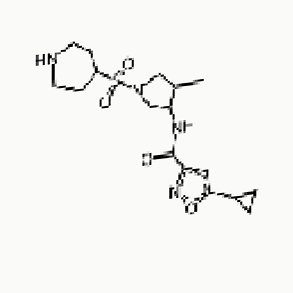 CC1CN(S(=O)(=O)C2CCNCC2)CC1NC(=O)c1cc(C2CC2)on1